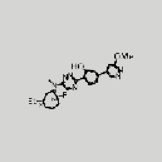 CC[C@@H]1CCC[C@H](F)[C@H](N(C)c2cnc(-c3ccc(-c4cnnc(OC)c4)cc3O)nn2)C1